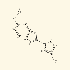 CCCCc1csc(-c2cc3cc(CCl)ccc3o2)n1